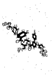 CC(C)C[C@H]1CN(C(=O)c2cc(F)cc(N3CCN(C(=O)OC(C)(C)C)CC3)c2)CCN1C(=O)c1ccc(O[C@H]2CCN(C(=O)OC(C)(C)C)C2)c(-c2ccc(F)cc2)c1